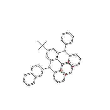 CC(C)(C)c1cc(N(c2ccccc2)c2ccccc2)c(-c2ccccc2)c(N(c2ccccc2)c2ccc3ccccc3c2)c1